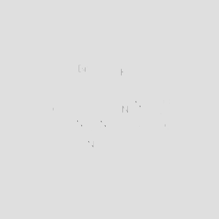 COc1cc(Br)ccc1Nc1ncc2c(n1)-c1nn(C)c(C(=O)[O-])c1CCC2.[K+]